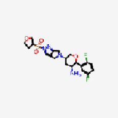 N[C@H]1C[C@@H](N2Cc3cn(S(=O)(=O)C4CCOC4)nc3C2)COC1c1cc(F)ccc1F